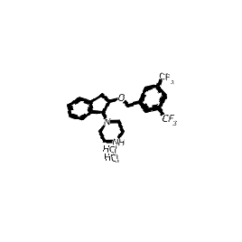 Cl.Cl.FC(F)(F)c1cc(COC2Cc3ccccc3C2N2CCNCC2)cc(C(F)(F)F)c1